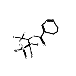 O=C(OC(C(F)(F)F)C(F)(F)S(=O)(=O)O)C1=CC=CCC1